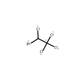 CC(C)C(Cl)C(Cl)(Cl)Cl